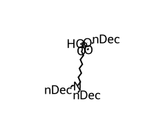 CCCCCCCCCCCOP(=O)(O)OCCCCCCCN(CCCCCCCCCCC)CCCCCCCCCCC